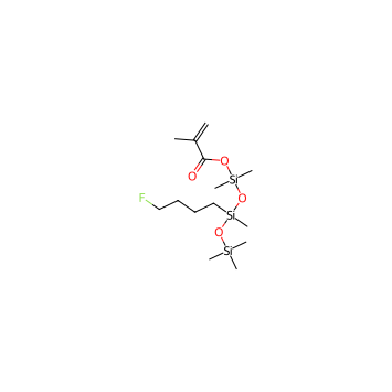 C=C(C)C(=O)O[Si](C)(C)O[Si](C)(CCCCF)O[Si](C)(C)C